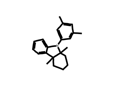 Cc1cc(C)cc(N2c3ccccc3C3(C)CCCCC23C)c1